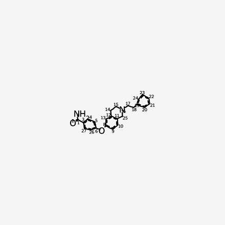 NC(=O)c1ccc(Oc2ccc3c(c2)CCN(CCc2ccccc2)C3)cc1